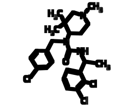 CC(NC(=O)N(Cc1ccc(Cl)cc1)C1CCN(C)CC1(C)C)c1cccc(Cl)c1Cl